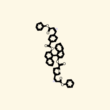 O=C(/C=C\c1ccc(C(=O)Oc2ccc3ccccc3c2-c2c(OC(=O)c3ccc(/C=C\C(=O)Oc4ccccc4)cc3)ccc3ccccc23)cc1)Oc1ccccc1